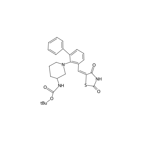 CC(C)(C)OC(=O)NC1CCCN(c2c(/C=C3/SC(=O)NC3=O)cccc2-c2ccccc2)C1